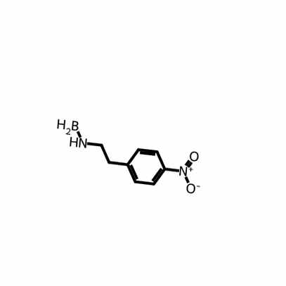 BNCCc1ccc([N+](=O)[O-])cc1